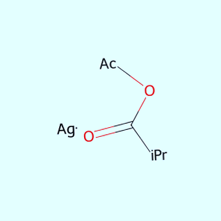 CC(=O)OC(=O)C(C)C.[Ag]